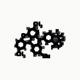 Cc1ccc2c(c1)B1c3ccc(C(C)(C)C)cc3N(c3ccc4c(c3)C(F)(F)C(F)(F)C4(F)F)c3nc(C)cc(c31)O2